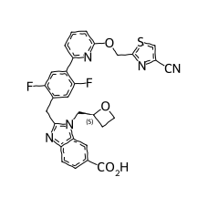 N#Cc1csc(COc2cccc(-c3cc(F)c(Cc4nc5ccc(C(=O)O)cc5n4C[C@@H]4CCO4)cc3F)n2)n1